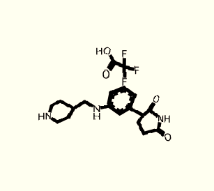 O=C(O)C(F)(F)F.O=C1CCC(c2cccc(NCC3CCNCC3)c2)C(=O)N1